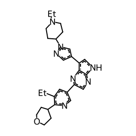 CCc1cc(-c2cnc3[nH]cc(-c4cnn(C5CCN(CC)CC5)c4)c3n2)cnc1C1CCOCC1